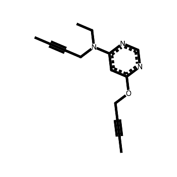 CC#CCOc1cc(N(CC)CC#CC)ncn1